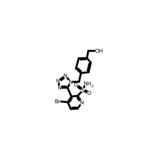 NS(=O)(=O)c1nccc(Br)c1-c1nnnn1Cc1ccc(CO)cc1